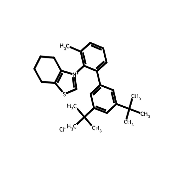 Cc1cccc(-c2cc(C(C)(C)C)cc(C(C)(C)C)c2)c1-[n+]1csc2c1CCCC2.[Cl-]